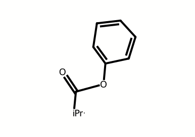 C[C](C)C(=O)Oc1ccccc1